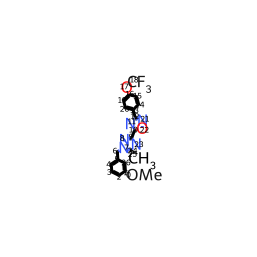 COc1cccc(Cn2nc(-c3nc(-c4ccc(OC(F)(F)F)cc4)no3)nc2C)c1